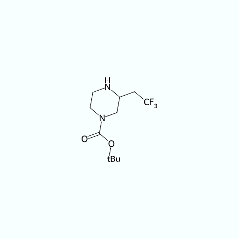 CC(C)(C)OC(=O)N1CCNC(CC(F)(F)F)C1